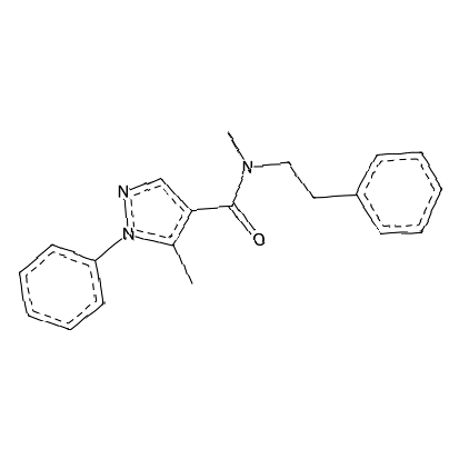 Cc1c(C(=O)N(C)CCc2ccccc2)cnn1-c1ccccc1